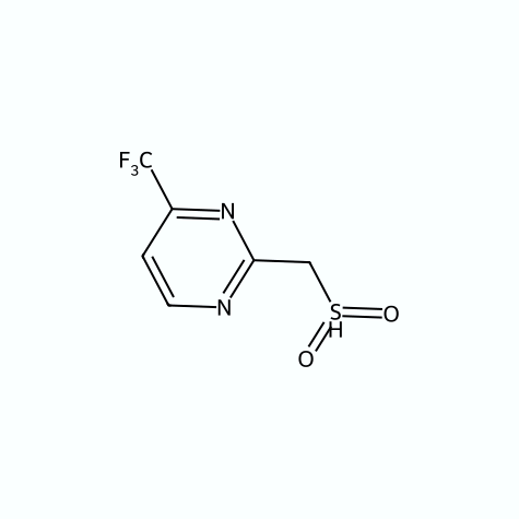 O=[SH](=O)Cc1nccc(C(F)(F)F)n1